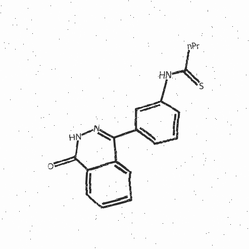 CCCC(=S)Nc1cccc(-c2n[nH]c(=O)c3ccccc23)c1